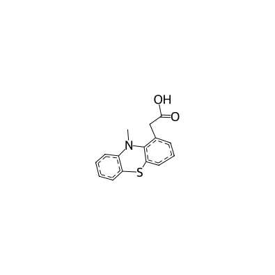 CN1c2ccccc2Sc2cccc(CC(=O)O)c21